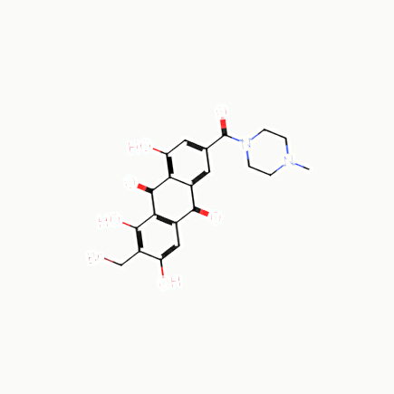 CN1CCN(C(=O)c2cc(O)c3c(c2)C(=O)c2cc(O)c(CBr)c(O)c2C3=O)CC1